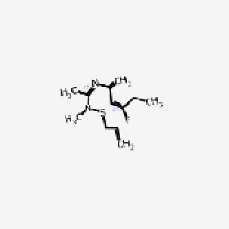 C=CCSN(C)/C(C)=N\C(=C)/C=C(/F)CC